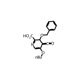 CCCCOC1=CN=C(C(=O)O)C(OCc2ccccc2)C1=C=O